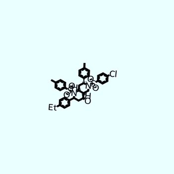 CCc1ccc(C2CC(=O)[C@@H]3CN(S(=O)(=O)c4ccc(Cl)cc4)[C@H](c4ccc(C)cc4)C[C@@H]3N2S(=O)(=O)c2ccc(C)cc2)cc1